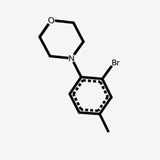 Cc1ccc(N2CCOCC2)c(Br)c1